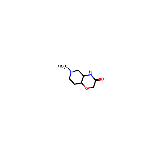 O=C1COC2CCN(C(=O)O)CC2N1